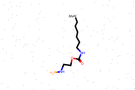 CNCCCCCCNC(=O)OCCNP